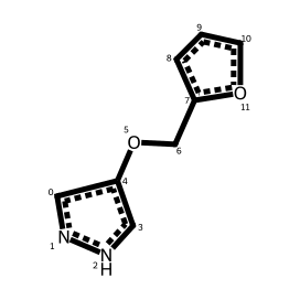 [c]1n[nH]cc1OCc1ccco1